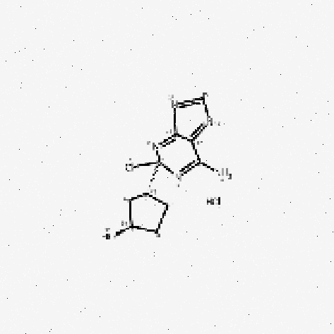 Cl.NC1=NC(Cl)([C@@H]2CC[C@@H](O)C2)N=C2N=CN=C12